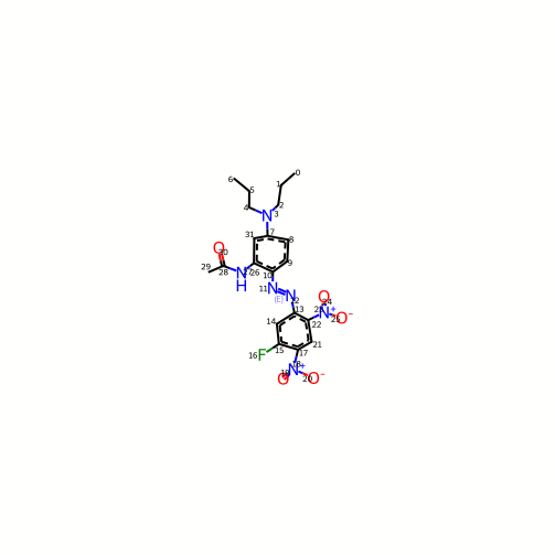 CCCN(CCC)c1ccc(/N=N/c2cc(F)c([N+](=O)[O-])cc2[N+](=O)[O-])c(NC(C)=O)c1